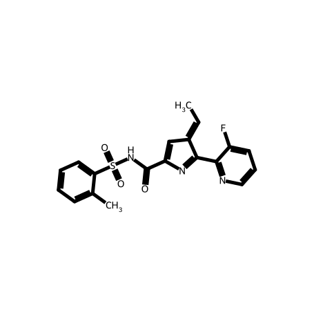 C/C=C1\C=C(C(=O)NS(=O)(=O)c2ccccc2C)N=C1c1ncccc1F